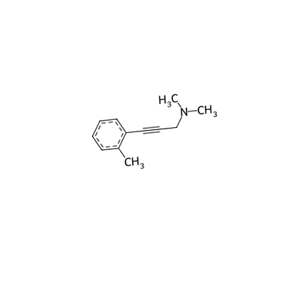 Cc1ccccc1C#CCN(C)C